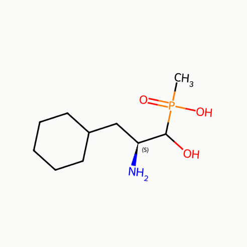 CP(=O)(O)C(O)[C@@H](N)CC1CCCCC1